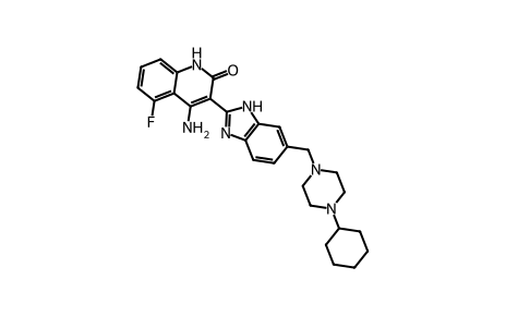 Nc1c(-c2nc3ccc(CN4CCN(C5CCCCC5)CC4)cc3[nH]2)c(=O)[nH]c2cccc(F)c12